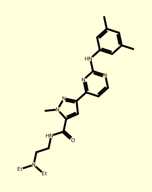 CCN(CC)CCNC(=O)c1cc(-c2ccnc(Nc3cc(C)cc(C)c3)n2)nn1C